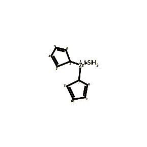 [SiH3][Zr]([CH]1C=CC=C1)[CH]1C=CC=C1